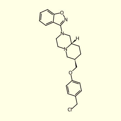 ClCc1ccc(OC[C@@H]2CC[C@H]3CN(c4noc5ccccc45)CCN3C2)cc1